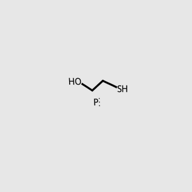 OCCS.[P]